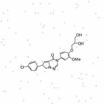 COc1cc(N2C=NN3CC(c4ccc(Cl)cc4)C=C3C2=O)ccc1OCC(O)CO